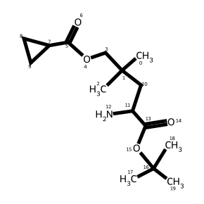 CC(C)(COC(=O)C1CC1)CC(N)C(=O)OC(C)(C)C